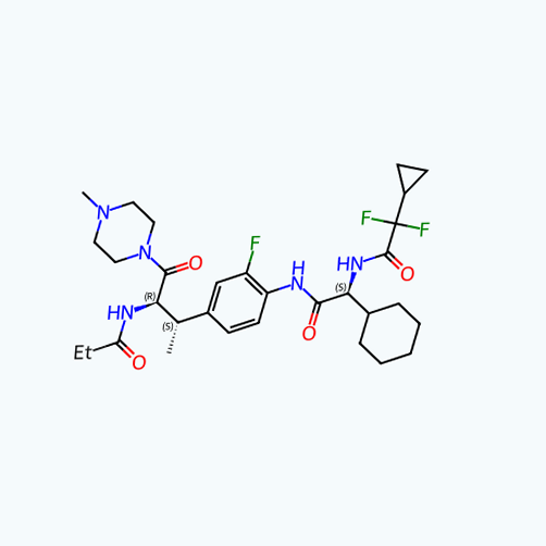 CCC(=O)N[C@@H](C(=O)N1CCN(C)CC1)[C@@H](C)c1ccc(NC(=O)[C@@H](NC(=O)C(F)(F)C2CC2)C2CCCCC2)c(F)c1